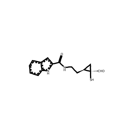 O=C[C@@]1(S)C[C@@H]1CCNC(=O)c1cc2ccccc2[nH]1